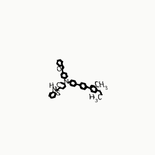 C/C=C\c1ccc(-c2ccc(-c3ccc(N(C(/C=C\Cc4nc5ccccc5s4)=C/C)c4ccc(-c5cc6ccccc6o5)cc4)cc3)cc2)cc1C